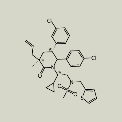 C=CC[C@@]1(C)C[C@H](c2cccc(Cl)c2)C(c2ccc(Cl)cc2)N([C@H](CN(Cc2cccs2)S(C)(=O)=O)C2CC2)C1=O